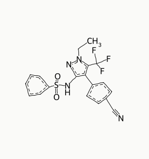 CCn1nc(NS(=O)(=O)c2ccccc2)c(-c2ccc(C#N)cc2)c1C(F)(F)F